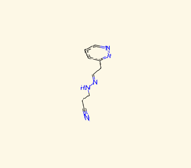 N#CCCNN=CCc1cccnn1